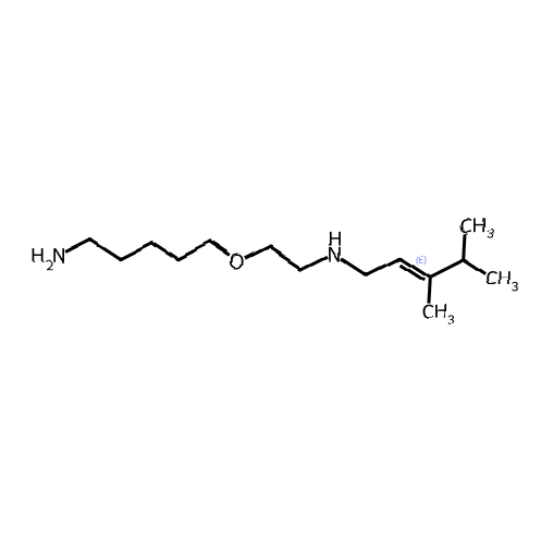 C/C(=C\CNCCOCCCCCN)C(C)C